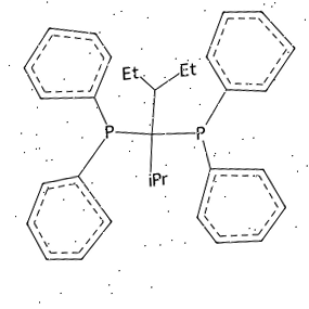 CCC(CC)C(C(C)C)(P(c1ccccc1)c1ccccc1)P(c1ccccc1)c1ccccc1